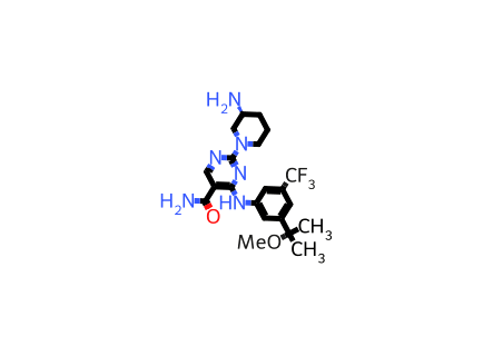 COC(C)(C)c1cc(Nc2nc(N3CCC[C@H](N)C3)ncc2C(N)=O)cc(C(F)(F)F)c1